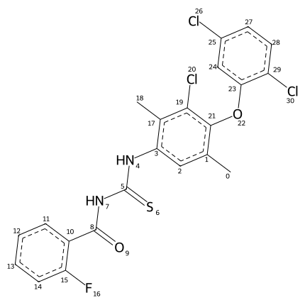 Cc1cc(NC(=S)NC(=O)c2ccccc2F)c(C)c(Cl)c1Oc1cc(Cl)ccc1Cl